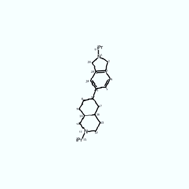 CC(C)N1Cc2ccc(C3CCC4CN(C(C)C)CCC4C3)cc2C1